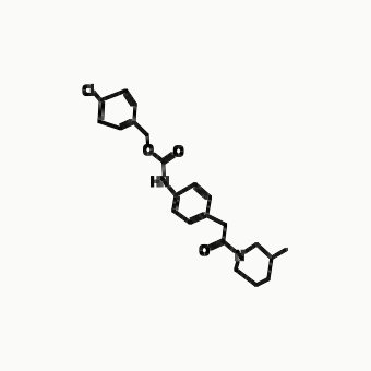 CC1CCCN(C(=O)Cc2ccc(NC(=O)OCc3ccc(Cl)cc3)cc2)C1